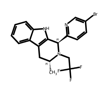 C[C@@H]1Cc2c([nH]c3ccccc23)[C@@H](c2ccc(Br)cn2)N1CC(F)(F)F